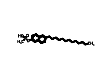 CCCCCCCCCCCCCc1ccc2cc(OP(C)(=O)O)ccc2c1